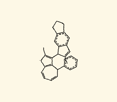 CC1=Cc2cc3c(cc2C1C1=C(C)[CH]C2=C1C(c1ccccc1)C=CC=C2)CCC3